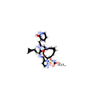 COC(=O)NS(=O)(=O)[N+]1(C2CCCCCCCCC2)NCCC1C(=O)N[C@@H](CCC1CC1)C(=O)N[C@H](C#N)C[C@@H]1CCCNC1=O